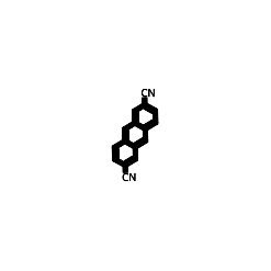 N#Cc1ccc2cc3cc(C#N)ccc3cc2c1